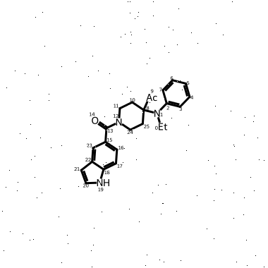 CCN(c1ccccc1)C1(C(C)=O)CCN(C(=O)c2ccc3[nH]ccc3c2)CC1